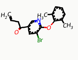 C=CCC(=O)c1cnc(Oc2c(C)cccc2C)c(Br)c1